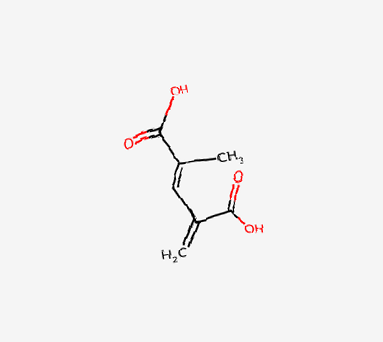 C=C(/C=C(\C)C(=O)O)C(=O)O